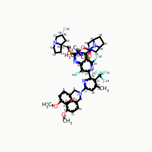 COc1ccc(CN(Cc2ccc(OC)cc2)c2cc(C)c(C(F)(F)F)c(-c3nc(F)c4c(N5CC6CCC(C5)N6C(=O)OC(C)(C)C)nc(OC[C@@]56CCCN5C[C@H](F)C6)nc4c3F)n2)cc1